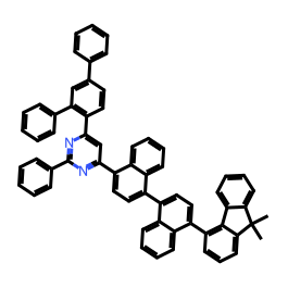 CC1(C)c2ccccc2-c2c(-c3ccc(-c4ccc(-c5cc(-c6ccc(-c7ccccc7)cc6-c6ccccc6)nc(-c6ccccc6)n5)c5ccccc45)c4ccccc34)cccc21